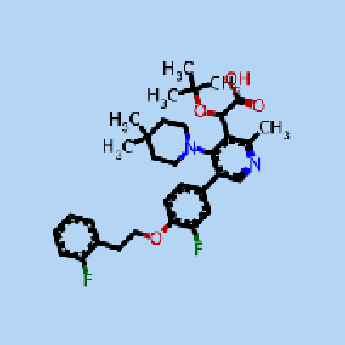 Cc1ncc(-c2ccc(OCCc3ccccc3F)c(F)c2)c(N2CCC(C)(C)CC2)c1C(OC(C)(C)C)C(=O)O